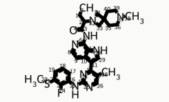 CCC(C(=O)Nc1nccc2c(-c3nc(Nc4cccc(SC)c4F)ncc3C)c[nH]c12)N1CC2(CCN(C)CC2)C1